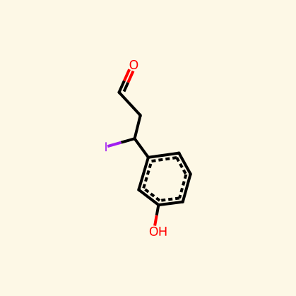 O=CCC(I)c1cccc(O)c1